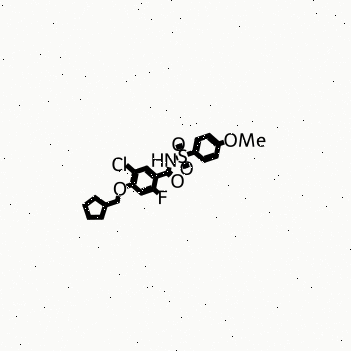 COc1ccc(S(=O)(=O)NC(=O)c2cc(Cl)c(OCC3CCCC3)cc2F)cc1